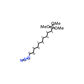 CO[Si](CCCCCCCCCCN=[N+]=[N-])(OC)OC